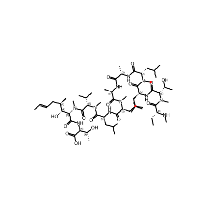 CC=CC[C@@H](C)[C@@H](O)[C@@H](C(=O)N[C@H](C(=O)O)[C@@H](C)O)N(C)C(=O)[C@H](C(C)C)N(C)C(=O)[C@H](CC(C)C)NC(=O)[C@H](CC(C)C)N(C)C(=O)[C@@H](C)NC(=O)[C@H](C)NC(=O)[C@H](CC(C)C)N(C)C(=O)[C@H](CC(C)C)NC(=O)[C@H](C(C)O)N(C)C(=O)[C@@H](CC)NC